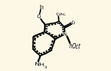 CCCCCCCCn1c(=O)c(OC(C)=O)c(OCC)c2ccc(N)cc21